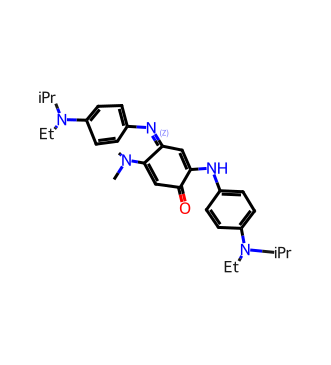 CCN(c1ccc(/N=C2/C=C(Nc3ccc(N(CC)C(C)C)cc3)C(=O)C=C2N(C)C)cc1)C(C)C